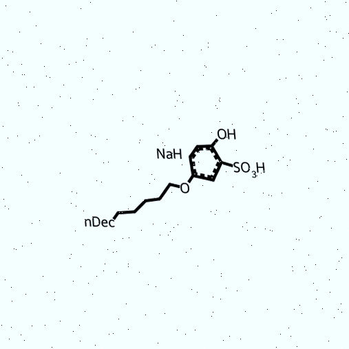 CCCCCCCCCCCCCCCOc1ccc(O)c(S(=O)(=O)O)c1.[NaH]